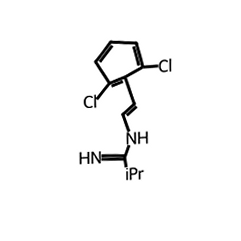 CC(C)C(=N)NC=Cc1c(Cl)cccc1Cl